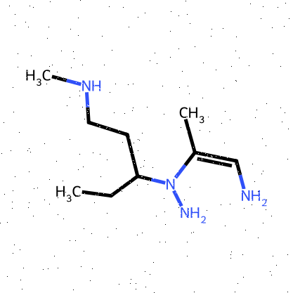 CCC(CCNC)N(N)/C(C)=C\N